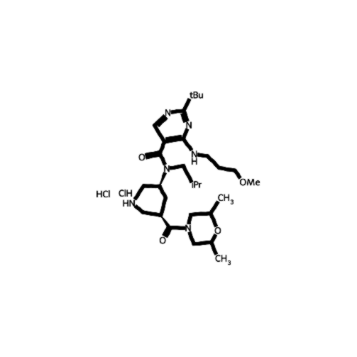 COCCCNc1nc(C(C)(C)C)ncc1C(=O)N(CC(C)C)[C@@H]1CNC[C@H](C(=O)N2CC(C)OC(C)C2)C1.Cl.Cl